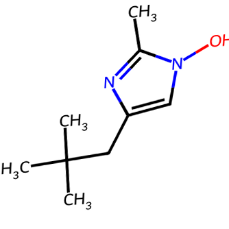 Cc1nc(CC(C)(C)C)cn1O